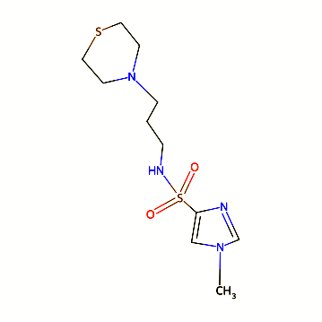 Cn1cnc(S(=O)(=O)NCCCN2CCSCC2)c1